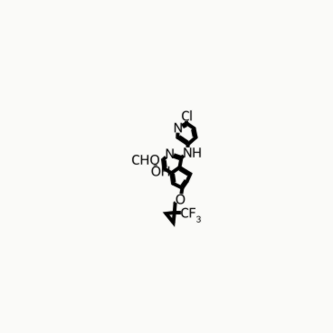 FC(F)(F)C1(COc2ccc3c(Nc4ccc(Cl)nc4)nccc3c2)CC1.O=CO